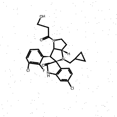 O=C(CCO)N1CC[C@H]2C1[C@H](c1cccc(Cl)c1F)[C@]1(C(=O)Nc3cc(Cl)ccc31)N2CC1CC1